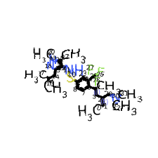 C/C=C(\C=C(/C)c1ccc(SNc2c(CC(C)C)nn(C)c2C)cc1C(F)(F)F)CN(C)C